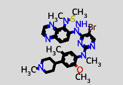 COc1cc(C2CCN(C)CC2)c(C)cc1N(C)c1ncc(Br)c(N(N)c2ccc3nccnc3c2N(C)SC)n1